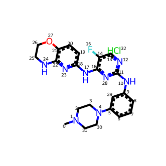 CN1CCN(c2cccc(Nc3ncc(F)c(Nc4ccc5c(n4)NCCO5)n3)c2)CC1.Cl